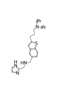 CC(C)N(CCCc1cc2cc(CNCc3ncc[nH]3)ccc2s1)C(C)C